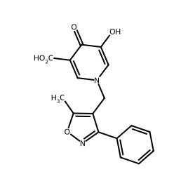 Cc1onc(-c2ccccc2)c1Cn1cc(O)c(=O)c(C(=O)O)c1